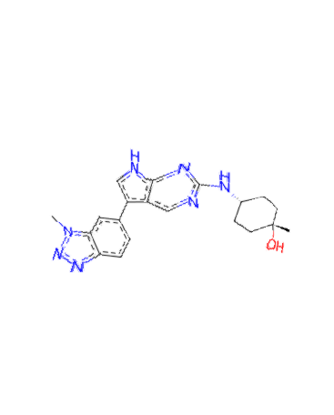 Cn1nnc2ccc(-c3c[nH]c4nc(N[C@H]5CC[C@@](C)(O)CC5)ncc34)cc21